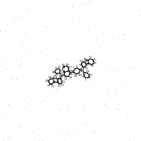 c1ccc(N(c2ccc(-c3ccc(N(c4ccccc4)c4cccc5c4oc4ccccc45)c4ccccc34)cc2)c2ccc3sc4ccccc4c3c2)cc1